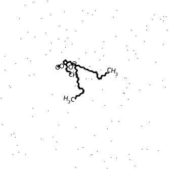 CC/C=C\CC1C(CC(=O)OC(CCCCCCCC/C=C\C/C=C\CCCCC)CCCCCCCC/C=C\C/C=C\CCCCC)CCC1OC=O